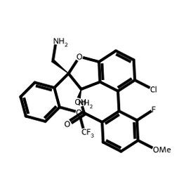 COc1ccc(C(N)=O)c(-c2c(Cl)ccc3c2[C@@H](O)[C@](CN)(c2ccccc2OC(F)(F)F)O3)c1F